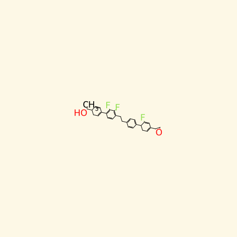 CC(O)C1C=CC(c2ccc(CCc3ccc(C4CC=C(C5CO5)C=C4F)cc3)c(F)c2F)=CC1